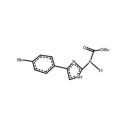 CCN(C(=O)OCC(C)C)c1nc(-c2ccc(C(C)(C)C)cc2)c[nH]1